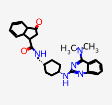 CN(C)c1nc(N[C@H]2CC[C@@H](CNC(=O)C3CC(=O)C4C=CC=CC43)CC2)nc2ccccc12